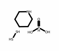 C1CCNCC1.O=[PH](O)O.SS